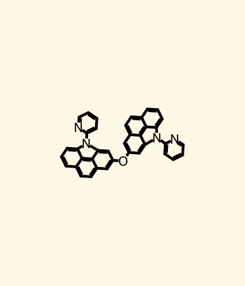 c1ccc(-n2c3cccc4ccc5cc(Oc6cc7ccc8cccc9c8c7c(c6)n9-c6ccccn6)cc2c5c43)nc1